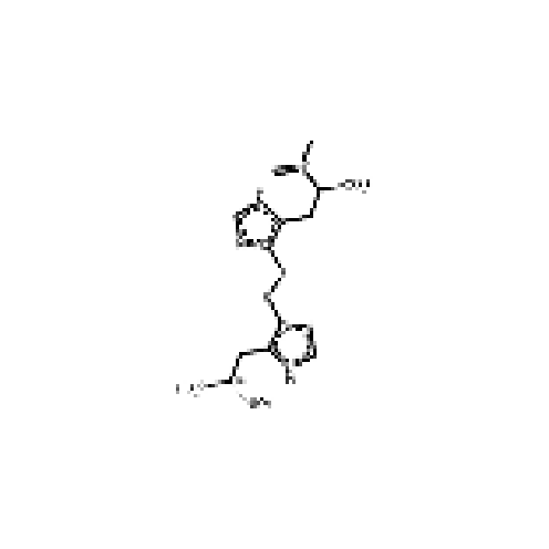 C=[N+](C)C(Cc1[nH]cnc1SSc1nc[nH]c1C[C@H](NC)C(=O)O)C(=O)O